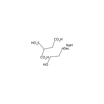 CCCCCCCCCCCCO.O=C(O)CC(C(=O)O)S(=O)(=O)O.[NaH]